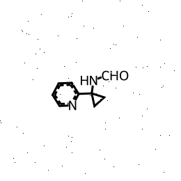 O=CNC1(c2ccccn2)CC1